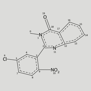 Cn1c(-c2cc(Cl)ccc2[N+](=O)[O-])nc2ccccc2c1=O